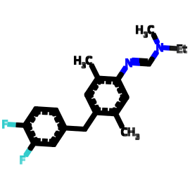 CCN(C)C=Nc1cc(C)c(Cc2ccc(F)c(F)c2)cc1C